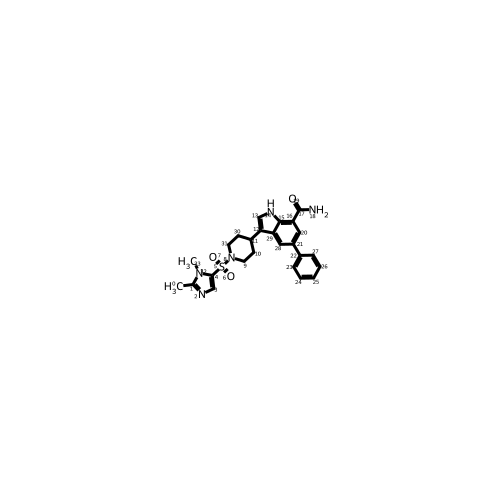 Cc1ncc(S(=O)(=O)N2CCC(c3c[nH]c4c(C(N)=O)cc(-c5ccccc5)cc34)CC2)n1C